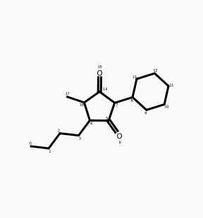 CCCCC1C(=O)C(C2CCCCC2)C(=O)C1C